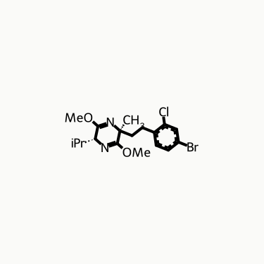 COC1=N[C@@](C)(CCc2ccc(Br)cc2Cl)C(OC)=N[C@@H]1C(C)C